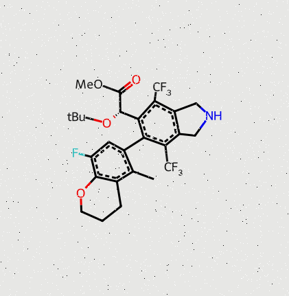 COC(=O)[C@@H](OC(C)(C)C)c1c(-c2cc(F)c3c(c2C)CCCO3)c(C(F)(F)F)c2c(c1C(F)(F)F)CNC2